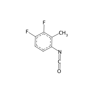 Cc1c(N=C=O)ccc(F)c1F